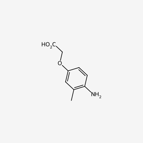 Cc1cc(OCC(=O)O)ccc1N